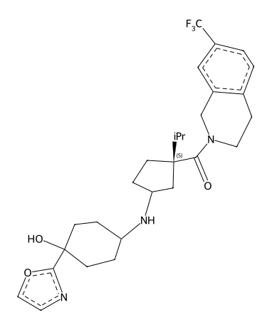 CC(C)[C@]1(C(=O)N2CCc3ccc(C(F)(F)F)cc3C2)CCC(NC2CCC(O)(c3ncco3)CC2)C1